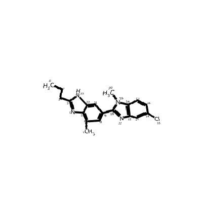 CCCc1nc2c(C)cc(-c3nc4cc(Cl)ccc4n3C)cc2[nH]1